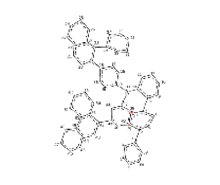 c1ccc(-c2ccc(-c3ccccc3N(c3ccc(-c4ccc5ccccc5c4-c4ccccc4)cc3)c3cccc(-c4cc5ccccc5c5ccccc45)c3)cc2)cc1